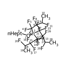 CCCCCCC[O][Sn]([C](F)(F)C(F)(F)C(C)F)([C](F)(F)C(F)(F)C(C)F)[C](F)(F)C(F)(F)C(C)F